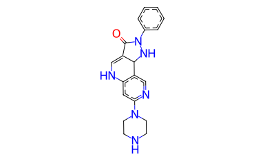 O=C1C2=CNc3cc(N4CCNCC4)ncc3C2NN1c1ccccc1